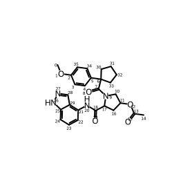 COc1ccc(C2(C(=O)N3CC(OC(C)=O)CC3C(=O)Nc3cccc4[nH]ncc34)CCCC2)cc1